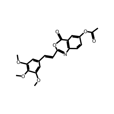 COc1cc(C=Cc2nc3ccc(OC(C)=O)cc3c(=O)o2)cc(OC)c1OC